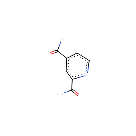 NC(=O)c1ccnc(C(N)=O)c1